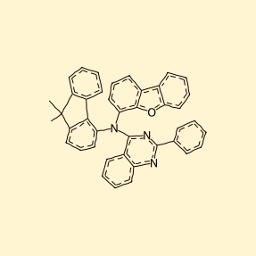 CC1(C)c2ccccc2-c2c(N(c3nc(-c4ccccc4)nc4ccccc34)c3cccc4c3oc3ccccc34)cccc21